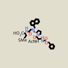 CSCCC(NC(=O)CN(Cc1cccc2ccccc12)C[C@@H]1CCCN1C(=O)C(CNC(=O)OCc1ccccc1)NC(C)=O)C(=O)O